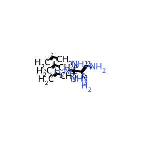 C=CC.C=CC.C=CC.NC=C(N)C(N)(N)N